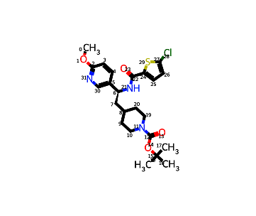 COc1ccc([C@H](CC2CCN(C(=O)OC(C)(C)C)CC2)NC(=O)c2ccc(Cl)s2)cn1